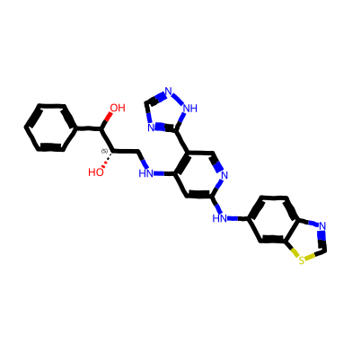 OC(c1ccccc1)[C@@H](O)CNc1cc(Nc2ccc3ncsc3c2)ncc1-c1ncn[nH]1